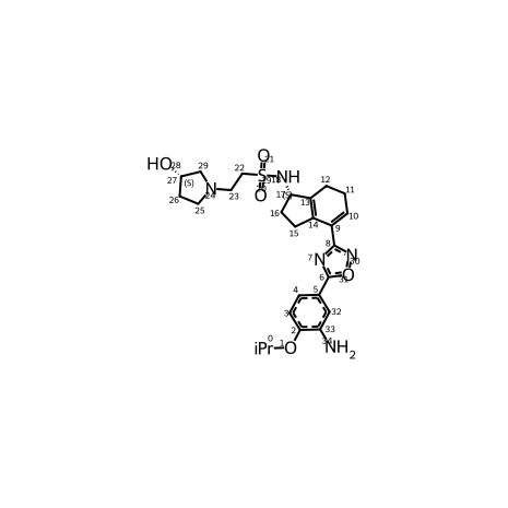 CC(C)Oc1ccc(-c2nc(C3=CCCC4=C3CC[C@@H]4NS(=O)(=O)CCN3CC[C@H](O)C3)no2)cc1N